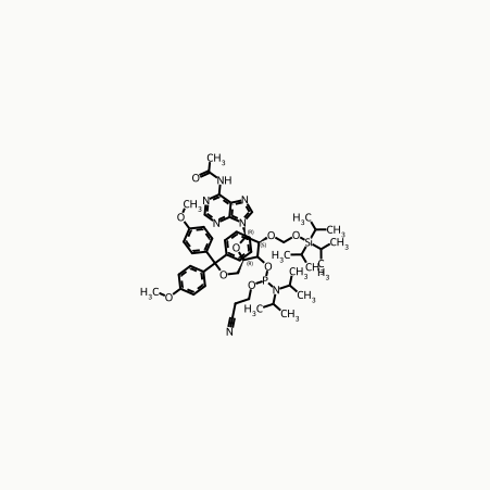 COc1ccc(C(OC[C@H]2O[C@@H](n3cnc4c(NC(C)=O)ncnc43)[C@@H](OCO[Si](C(C)C)(C(C)C)C(C)C)C2OP(OCCC#N)N(C(C)C)C(C)C)(c2ccccc2)c2ccc(OC)cc2)cc1